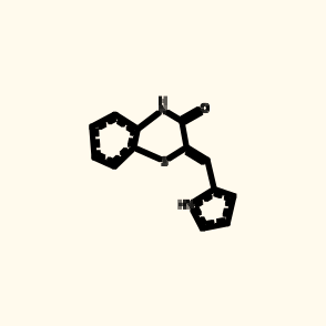 O=C1Nc2ccccc2SC1=Cc1ccc[nH]1